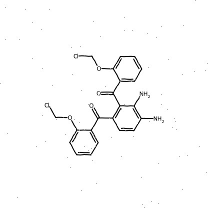 Nc1ccc(C(=O)c2ccccc2OCCl)c(C(=O)c2ccccc2OCCl)c1N